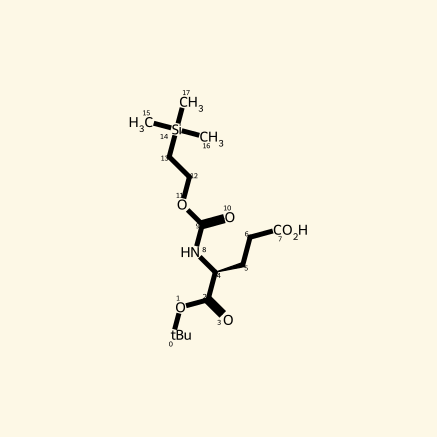 CC(C)(C)OC(=O)[C@H](CCC(=O)O)NC(=O)OCC[Si](C)(C)C